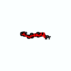 CCC1(COCCCCCCOc2ccc(OC(=O)c3ccc(-c4ccc(C(=O)OC5CCC6(C)C(=CCC7C6CCC6(C)C(C(C)CCCC(C)C)CCC76)C5)cc4)cc3)cc2)COC1